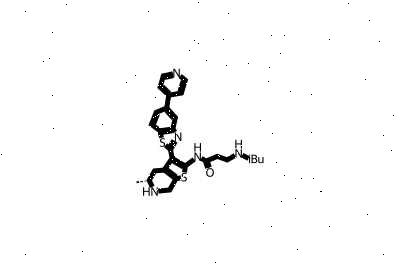 CCC(C)NCCC(=O)Nc1sc2c(c1-c1nc3cc(-c4ccncc4)ccc3s1)C[C@@H](C)NC2